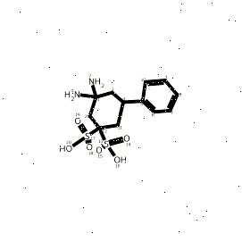 NC1(N)CC(c2ccccc2)CC(S(=O)(=O)O)(S(=O)(=O)O)C1